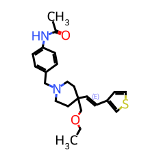 CCOCC1(/C=C/c2ccsc2)CCN(Cc2ccc(NC(C)=O)cc2)CC1